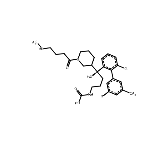 CNCCCC(=O)N1CCCC([C@@](O)(CCCNC(=O)O)c2cccc(Cl)c2-c2cc(C)cc(F)c2)C1